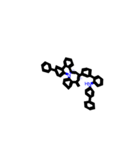 C=C1/C=C(c2cccc(-c3ccccc3Nc3ccc(-c4ccccc4)cc3)c2)\C=C2\c3ccccc3-c3cc(-c4ccccc4)ccc3N2c2ccccc21